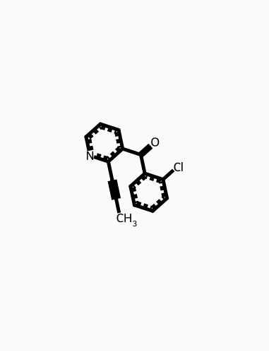 CC#Cc1ncccc1C(=O)c1ccccc1Cl